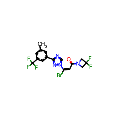 Cc1cc(-c2ncn(/C(Br)=C\C(=O)N3CC(F)(F)C3)n2)cc(C(F)(F)F)c1